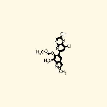 COCOc1c(-c2cc(Cl)c3nc(O)cnc3n2)cc2cn(C)nc2c1C